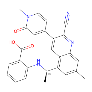 Cc1cc([C@@H](C)Nc2ccccc2C(=O)O)c2cc(-c3ccn(C)c(=O)c3)c(C#N)nc2c1